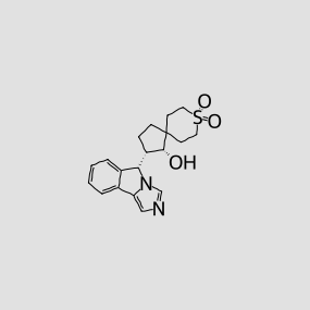 O=S1(=O)CCC2(CC[C@@H](C3c4ccccc4-c4cncn43)[C@H]2O)CC1